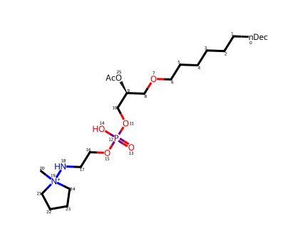 CCCCCCCCCCCCCCCCOC[C@@H](COP(=O)(O)OCCN[N+]1(C)CCCC1)OC(C)=O